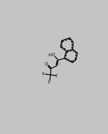 O=C(/C=C(\O)c1cccc2ccccc12)C(F)(F)F